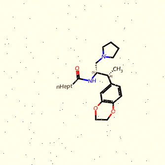 CCCCCCCC(=O)N[C@H](CN1CCCC1)[C@H](C)c1ccc2c(c1)OCCO2